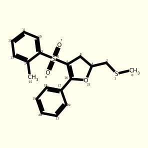 CSCC1CC(S(=O)(=O)c2ccccc2C)=C(c2ccccc2)O1